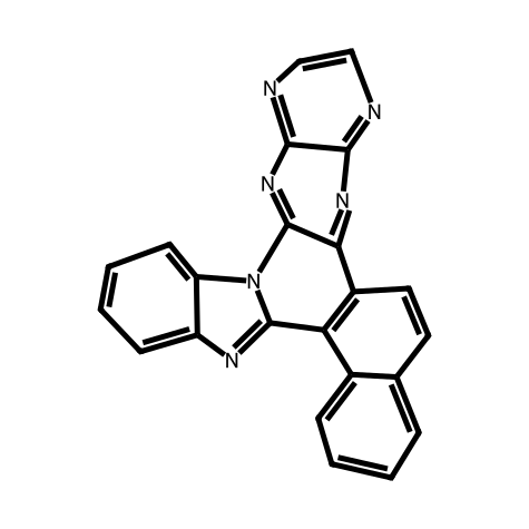 c1ccc2c(c1)ccc1c3nc4nccnc4nc3n3c4ccccc4nc3c21